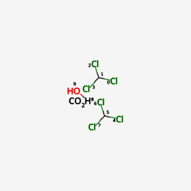 ClC(Cl)Cl.ClC(Cl)Cl.O=C(O)O